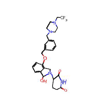 O=C1CCC(N2Cc3c(OCc4cccc(CN5CCN(CC(F)(F)F)CC5)c4)cccc3C2O)C(=O)N1